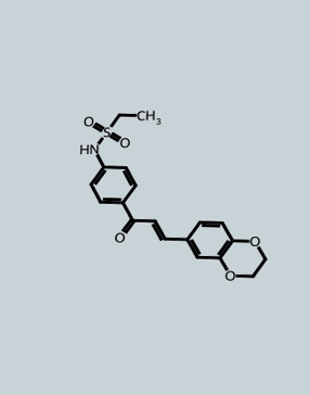 CCS(=O)(=O)Nc1ccc(C(=O)/C=C/c2ccc3c(c2)OCCO3)cc1